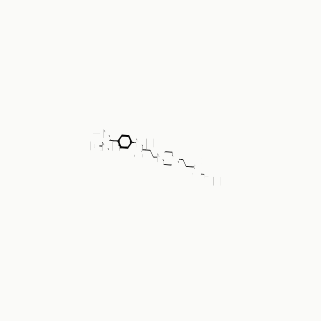 CCOC(=O)CCN1CCN(CCC(=O)Nc2ccc(C(=N)NO)cc2)CC1